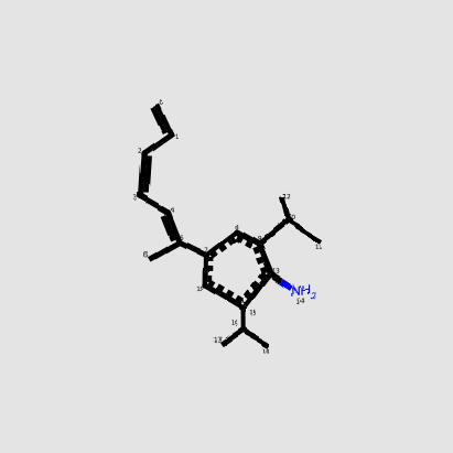 C=C/C=C\C=C(/C)c1cc(C(C)C)c(N)c(C(C)C)c1